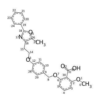 COc1cccc(OCc2ccc(OCCc3nc(-c4ccccc4)oc3C)cc2)c1C(=O)O